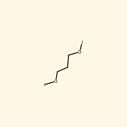 IOCCCOI